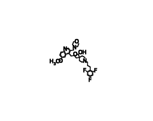 COc1ccc2ncc(CN3CCOCC3)c(CCCC3(C(=O)O)CCN(CCCc4c(F)cc(F)cc4F)CC3)c2c1